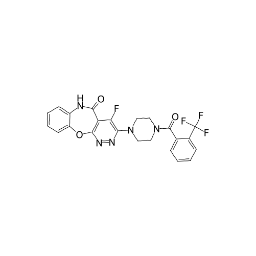 O=C1Nc2ccccc2Oc2nnc(N3CCN(C(=O)c4ccccc4C(F)(F)F)CC3)c(F)c21